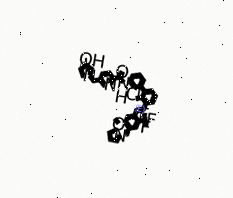 COc1cc(/C=C/c2cccc(-c3cccc(NC(=O)c4ccc(CN5CC[C@@H](O)C5)cn4)c3Cl)c2C)c(C(F)(F)F)cc1CN1CCCC1